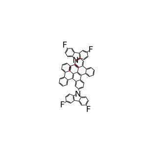 Fc1ccc2c(c1)c1cc(F)ccc1n2-c1ccc2c(-c3ccccc3-c3ccccc3)c3cc(-n4c5ccc(F)cc5c5cc(F)ccc54)ccc3c(-c3ccccc3-c3ccccc3)c2c1